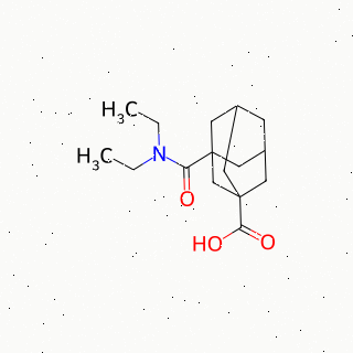 CCN(CC)C(=O)C12CC3CC(CC(C(=O)O)(C3)C1)C2